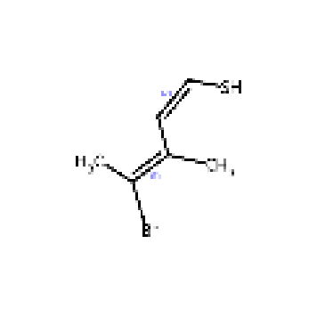 C/C(Br)=C(C)\C=C/S